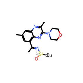 CC(=N[S@+]([O-])C(C)(C)C)c1cc(C)cc2nc(C)c(N3CCOCC3)nc12